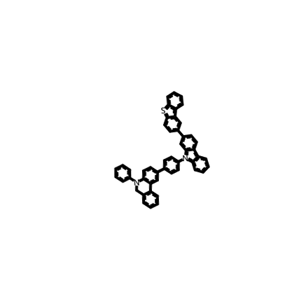 c1ccc(N2Cc3ccccc3-c3cc(-c4ccc(-n5c6ccccc6c6ccc(-c7ccc8sc9ccccc9c8c7)cc65)cc4)ccc32)cc1